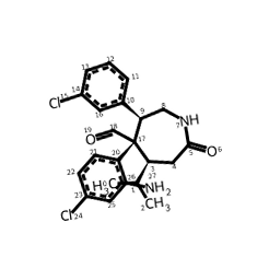 CC(C)[C@@H]1CC(=O)NC[C@H](c2cccc(Cl)c2)[C@]1(C=O)c1ccc(Cl)cc1N